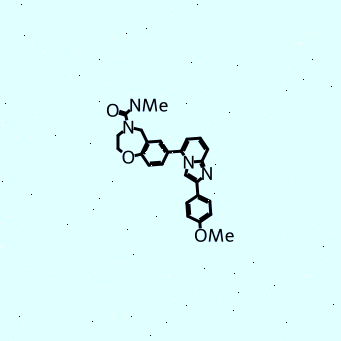 CNC(=O)N1CCOc2ccc(-c3cccc4nc(-c5ccc(OC)cc5)cn34)cc2C1